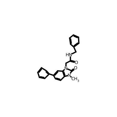 Cn1c(=O)n(CC(=O)NCc2ccccc2)c2cc(-c3ccccc3)ccc21